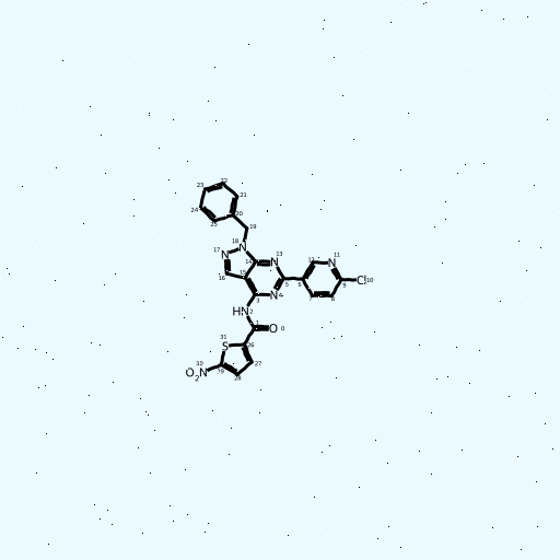 O=C(Nc1nc(-c2ccc(Cl)nc2)nc2c1cnn2Cc1ccccc1)c1ccc([N+](=O)[O-])s1